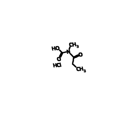 CCC(=O)N(C)C(=O)O.Cl